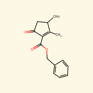 CC(=O)OC1CC(=O)C(C(=O)OCc2ccccc2)=C1C